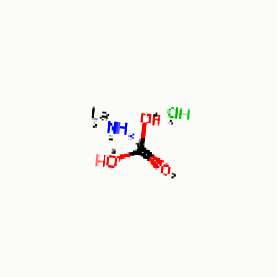 Cl.N.O=C(O)O.[La]